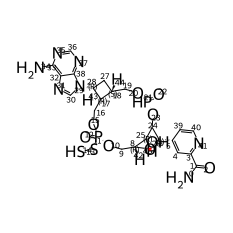 NC(=O)c1cc([C@@H]2O[C@@H]3COP(=O)(SS)OC[C@@H]4[C@@H](CO[PH](=O)OC2[C@@H]3O)C[C@H]4n2cnc3c(N)ncnc32)ccn1